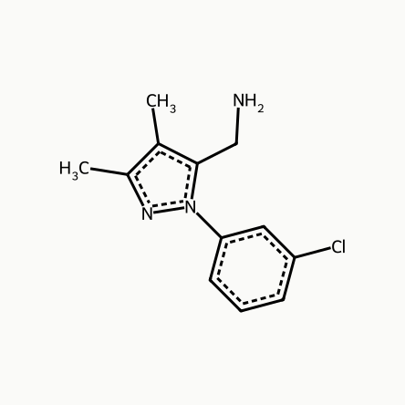 Cc1nn(-c2cccc(Cl)c2)c(CN)c1C